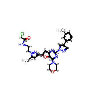 Cc1cccc(-c2cnn(-c3nc(N4CCOCC4)c4oc(-c5cc(C)n(CCNC(=O)CCl)n5)cc4n3)c2)c1